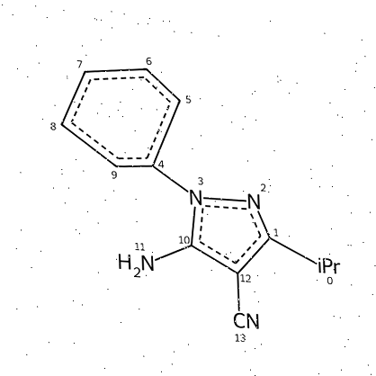 CC(C)c1nn(-c2ccccc2)c(N)c1C#N